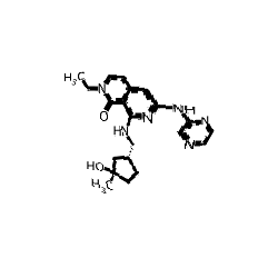 CCn1ccc2cc(Nc3cnccn3)nc(NC[C@@H]3CC[C@](C)(O)C3)c2c1=O